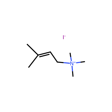 CC(C)=CC[N+](C)(C)C.[I-]